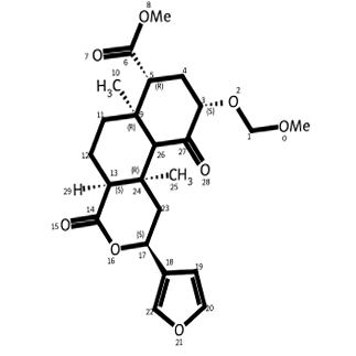 COCO[C@H]1C[C@@H](C(=O)OC)[C@]2(C)CC[C@@H]3C(=O)O[C@H](c4ccoc4)C[C@]3(C)C2C1=O